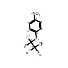 O=[N+]([O-])c1ccc(SC(F)(F)C(F)(F)Cl)cc1